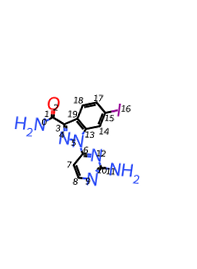 NC(=O)c1nn(-c2ccnc(N)n2)c2cc(I)ccc12